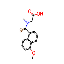 COc1cccc2c(C(=S)N(C)CC(=O)O)cccc12